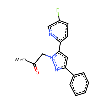 COC(=O)Cn1nc(-c2ccccc2)cc1-c1ccc(F)cn1